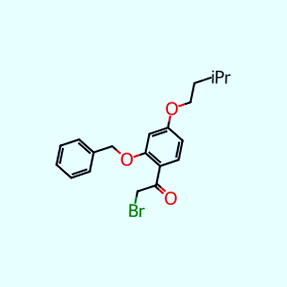 CC(C)CCOc1ccc(C(=O)CBr)c(OCc2ccccc2)c1